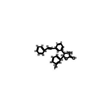 O=C1NC(c2cccc(C#Cc3ccccc3)c2)C(c2cccc(F)c2)O1